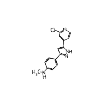 CNc1ccc(-c2cc(-c3ccnc(Cl)c3)[nH]n2)cc1